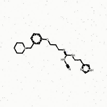 N#CN/C(=N\CCCOc1cccc(CN2CCCCC2)c1)NCCc1c[nH]cn1